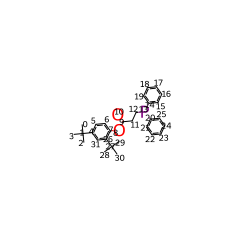 CC(C)(C)c1ccc(OC(=O)CCP(c2ccccc2)c2ccccc2)c(C(C)(C)C)c1